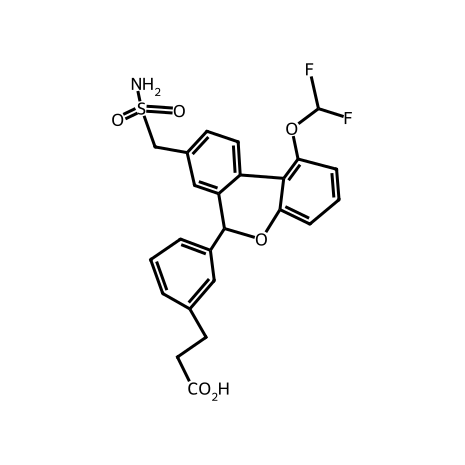 NS(=O)(=O)Cc1ccc2c(c1)C(c1cccc(CCC(=O)O)c1)Oc1cccc(OC(F)F)c1-2